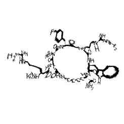 CCCCN1C(=O)N[C@H](Cc2ccc(F)cc2)C(=O)N[C@@H](CCCNC(=N)N)C(=O)N[C@@H](Cc2c[nH]c3ccccc23)C(=O)N[C@H](C(N)=O)CCCCNC(=O)C[C@H](NC(=O)[C@H](CCCNC(=N)N)NC(C)=O)C1=O